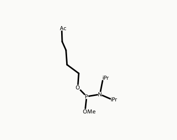 COP(OCCCCC(C)=O)N(C(C)C)C(C)C